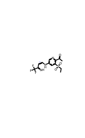 CCS(=O)(=O)c1cc(N/C=C\C(=N)C(F)(F)F)cnc1C(C)=O